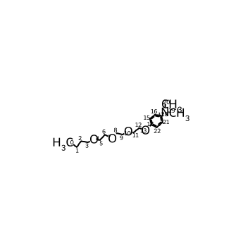 CCCCOCCOCCOCCOc1ccc(N(C)C)cc1